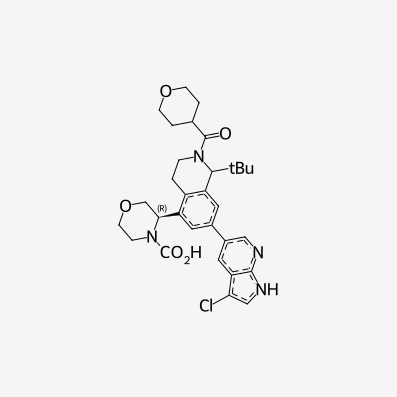 CC(C)(C)C1c2cc(-c3cnc4[nH]cc(Cl)c4c3)cc([C@@H]3COCCN3C(=O)O)c2CCN1C(=O)C1CCOCC1